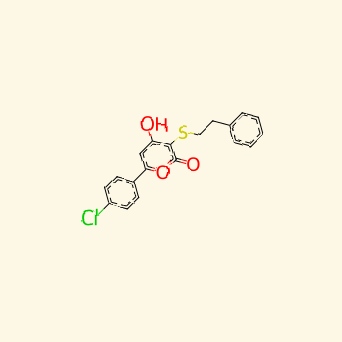 O=c1oc(-c2ccc(Cl)cc2)cc(O)c1SCCc1ccccc1